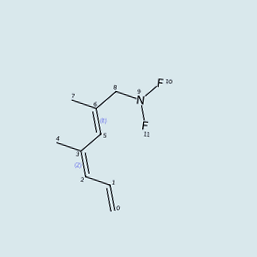 C=C/C=C(C)\C=C(/C)CN(F)F